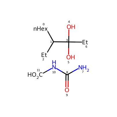 CCCCCCC(CC)C(O)(O)CC.NC(=O)NC(=O)O